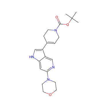 CC(C)(C)OC(=O)N1CC=C(c2c[nH]c3cc(N4CCOCC4)ncc23)CC1